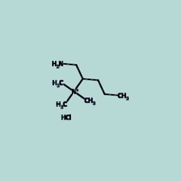 CCCC(CN)[N+](C)(C)C.Cl